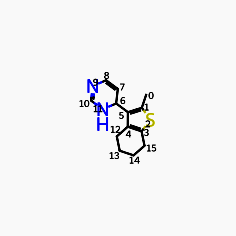 Cc1sc2c(c1C1C=CN=CN1)CCCC2